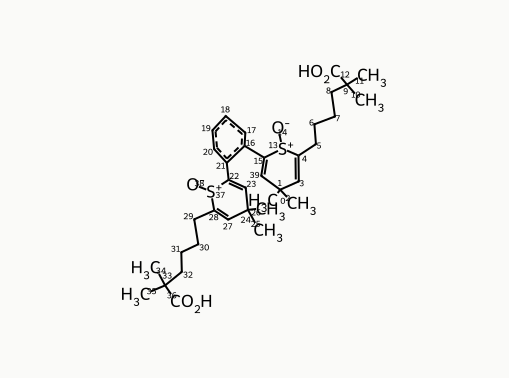 CC1(C)C=C(CCCCC(C)(C)C(=O)O)[S+]([O-])C(c2ccccc2C2=CC(C)(C)C=C(CCCCC(C)(C)C(=O)O)[S+]2[O-])=C1